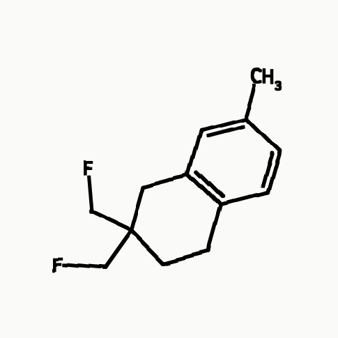 Cc1ccc2c(c1)CC(CF)(CF)CC2